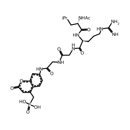 CC(=O)N[C@@H](CC(C)C)C(=O)N[C@@H](CCCNC(=N)N)C(=O)NCC(=O)NCC(=O)Nc1ccc2c(CP(=O)(O)O)cc(=O)oc2c1